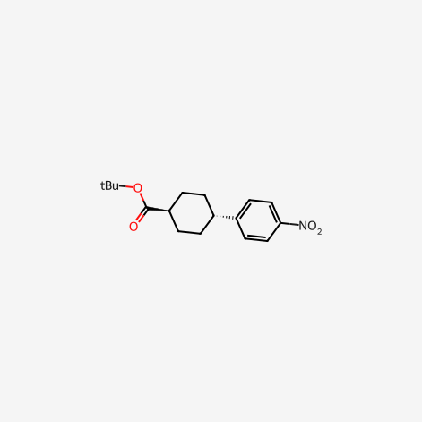 CC(C)(C)OC(=O)[C@H]1CC[C@H](c2ccc([N+](=O)[O-])cc2)CC1